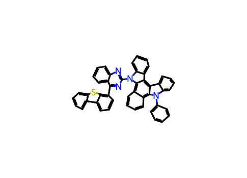 c1ccc(-n2c3ccccc3c3c4c5ccccc5n(-c5nc(-c6cccc7c6sc6ccccc67)c6ccccc6n5)c4c4ccccc4c32)cc1